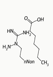 CCCCCCC(=O)O.CCCCCCCCCCCN(N)C(=N)N